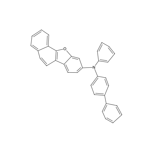 c1ccc(-c2ccc(N(c3ccccc3)c3ccc4c(c3)oc3c5ccccc5ccc43)cc2)cc1